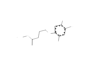 CC(C[C@H](C)COc1cc(F)c(Br)cc1F)NC(=O)O